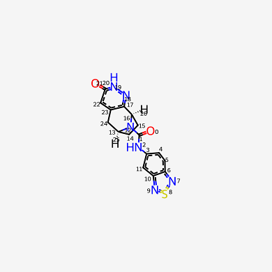 O=C(Nc1ccc2nsnc2c1)N1[C@H]2CC[C@@H]1c1n[nH]c(=O)cc1C2